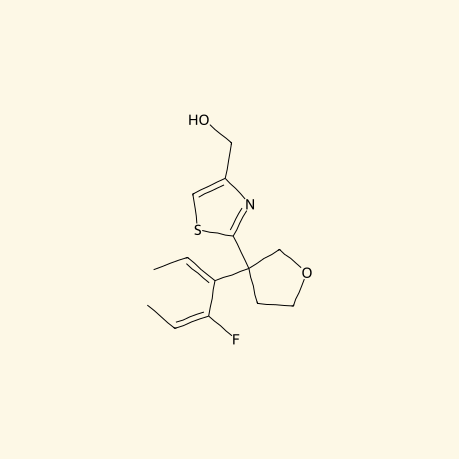 C/C=C(\C(F)=C/C)C1(c2nc(CO)cs2)CCOC1